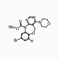 CC(C)(C)OC(=O)N1c2cc(Br)cc(F)c2OCc2c(N3CCOCC3)ncnc21